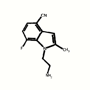 Cc1cc2c(C#N)ccc(F)c2n1CCN